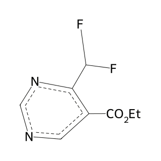 CCOC(=O)c1cncnc1C(F)F